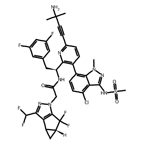 Cn1nc(NS(C)(=O)=O)c2c(Cl)ccc(-c3ccc(C#CC(C)(C)N)nc3[C@H](Cc3cc(F)cc(F)c3)NC(=O)Cn3nc(C(F)F)c4c3C(F)(F)[C@@H]3CC43)c21